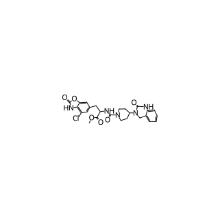 COC(=O)C(Cc1cc(Cl)c2[nH]c(=O)oc2c1)NC(=O)N1CCC(N2Cc3ccccc3NC2=O)CC1